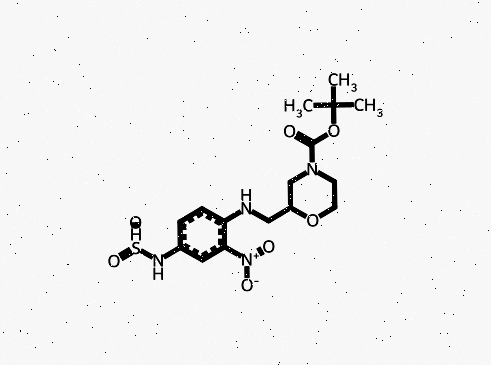 CC(C)(C)OC(=O)N1CCOC(CNc2ccc(N[SH](=O)=O)cc2[N+](=O)[O-])C1